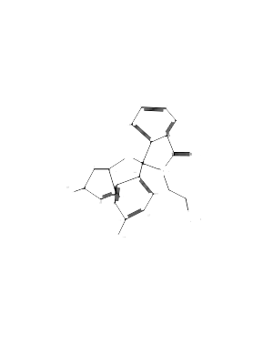 CCCN1C(=O)c2ccccc2C1(OC1C=CC(O)C1)c1ccc(Cl)cc1